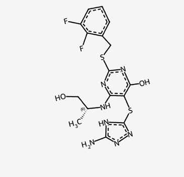 C[C@H](CO)Nc1nc(SCc2cccc(F)c2F)nc(O)c1Sc1nnc(N)[nH]1